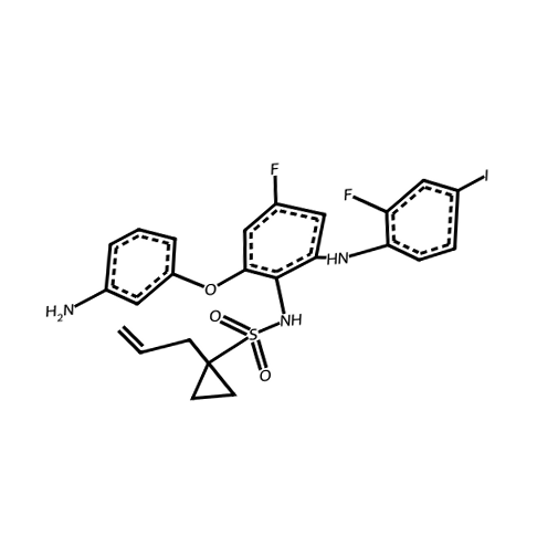 C=CCC1(S(=O)(=O)Nc2c(Nc3ccc(I)cc3F)cc(F)cc2Oc2cccc(N)c2)CC1